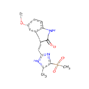 CCOc1ccc2c(c1)/C(=C/c1nc(S(C)(=O)=O)c(C)[nH]1)C(=O)N2